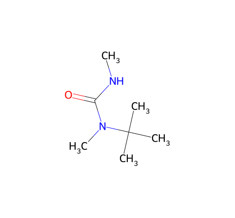 CNC(=O)N(C)C(C)(C)C